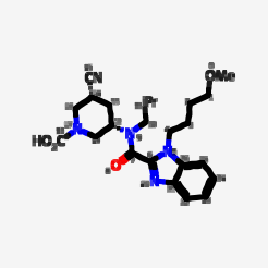 COCCCCn1c(C(=O)N(CC(C)C)[C@H]2C[C@@H](C#N)CN(C(=O)O)C2)nc2ccccc21